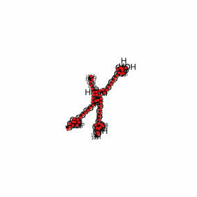 CC(C)(C)OC(=O)N[C@H]1[C@H]2OC[C@](COCCOCCOCCOCCn3cc(COCC(COCc4cn(CCOCCOCCOCCOC[C@@]56CO[C@@H](O5)[C@H](NC(=O)O)[C@H]5OC(C)(C)O[C@H]56)nn4)(COCc4cn(CCOCCOCCOCCOC[C@@]56CO[C@@H](O5)[C@H](NC(=O)OC(C)(C)C)[C@H]5OC(C)(C)O[C@H]56)nn4)NC(=O)CCCOCc4ccccc4)nn3)(O2)[C@@H]2OC(C)(C)O[C@H]12